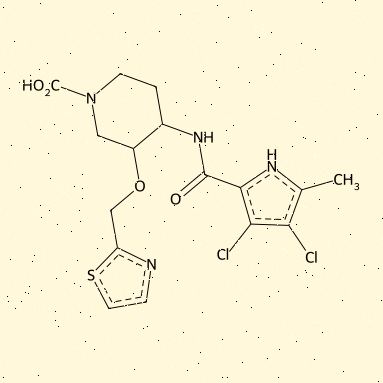 Cc1[nH]c(C(=O)NC2CCN(C(=O)O)CC2OCc2nccs2)c(Cl)c1Cl